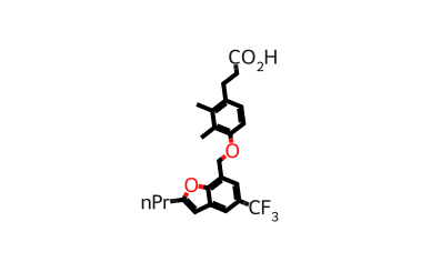 CCCc1cc2cc(C(F)(F)F)cc(COc3ccc(CCC(=O)O)c(C)c3C)c2o1